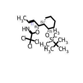 C/C=C/[C@@H](OC(=N)C(Cl)(Cl)Cl)[C@@H]1CCCC[C@@H]1O[Si](C)(C)C(C)(C)C